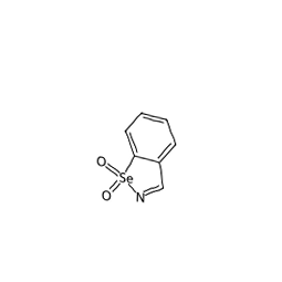 O=[Se]1(=O)N=Cc2ccccc21